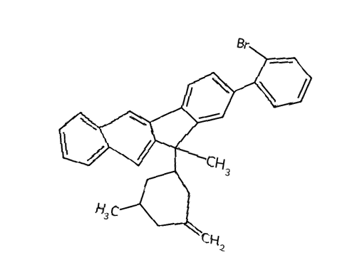 C=C1CC(C)CC(C2(C)c3cc(-c4ccccc4Br)ccc3-c3cc4ccccc4cc32)C1